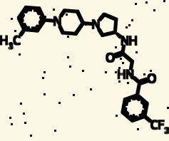 Cc1cccc(N2CCC(N3CC[C@@H](NC(=O)CNC(=O)c4cccc(C(F)(F)F)c4)C3)CC2)c1